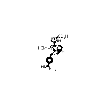 CC(C)C[C@@H](NCC(=O)O)C(=O)N1CC[C@@H]2C[C@@]21C(=O)NCc1ccc(C(=N)N)cc1.Cl.Cl